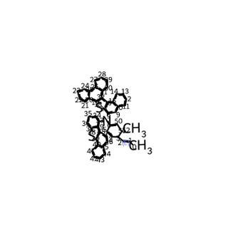 C/C=C/C1C=CC(N(c2cc3ccccc3c3c2sc2c4ccccc4c4ccccc4c23)c2cccc3sc4c5ccccc5ccc4c23)=CC1C